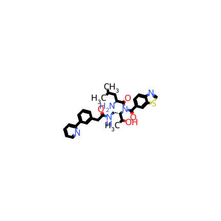 CC(C)C[C@H](N)C(=O)N(C(=O)c1ccc2ncsc2c1)[C@@H](CNC(=O)Cc1cccc(-c2ccccn2)c1)C(C)O